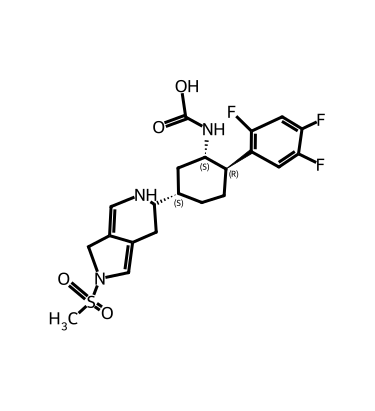 CS(=O)(=O)N1C=C2CC([C@H]3CC[C@H](c4cc(F)c(F)cc4F)[C@@H](NC(=O)O)C3)NC=C2C1